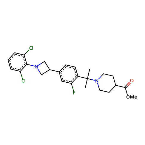 COC(=O)C1CCN(C(C)(C)c2ccc(C3CN(c4c(Cl)cccc4Cl)C3)cc2F)CC1